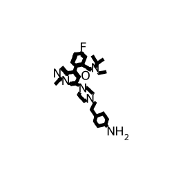 CCN(C(=O)c1cc(F)ccc1-c1cc(N2CCN(CCC3CCC(N)CC3)CC2)cn2c(C)ncc12)C(C)C